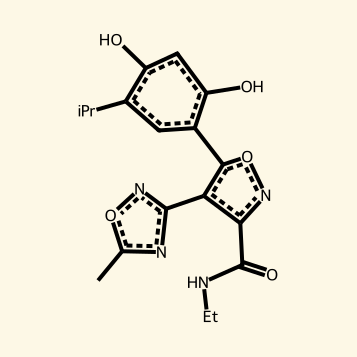 CCNC(=O)c1noc(-c2cc(C(C)C)c(O)cc2O)c1-c1noc(C)n1